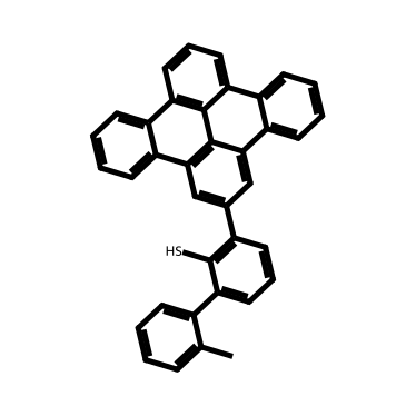 Cc1ccccc1-c1cccc(-c2cc3c4ccccc4c4cccc5c6ccccc6c(c2)c3c45)c1S